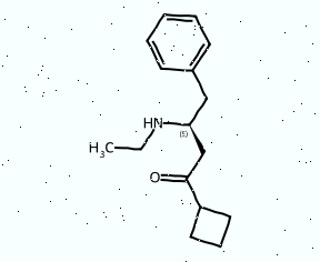 CCN[C@H](CC(=O)C1CCC1)Cc1ccccc1